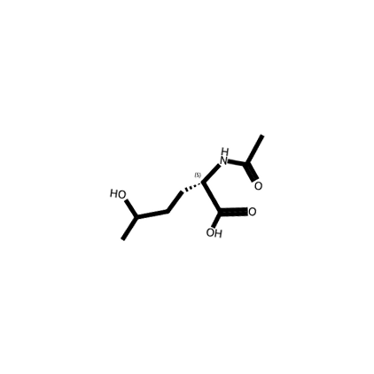 CC(=O)N[C@@H](CCC(C)O)C(=O)O